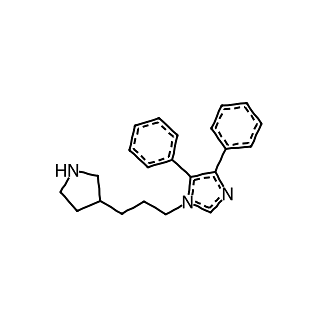 c1ccc(-c2ncn(CCCC3CCNC3)c2-c2ccccc2)cc1